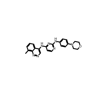 Cc1cccc2c(Nc3ccnc(Nc4ccc(N5CCOCC5)cc4)n3)cnnc12